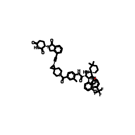 Cc1cc(C(=O)N2CCC3(CC2)C[C@@H]3C#Cc2cccc3c2CN([C@H]2CCC(=O)NC2=O)C3=O)ccc1NC(=O)[C@@H]1N[C@]2(CCCC(C)(C)C2)[C@@]2(CNc3cc(C(F)(F)F)ncc32)[C@H]1c1cccc(Cl)c1F